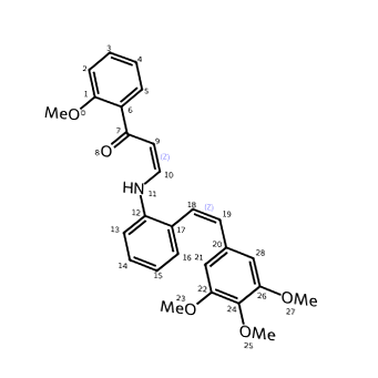 COc1ccccc1C(=O)/C=C\Nc1ccccc1/C=C\c1cc(OC)c(OC)c(OC)c1